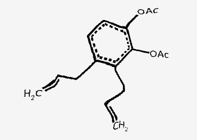 C=CCc1ccc(OC(C)=O)c(OC(C)=O)c1CC=C